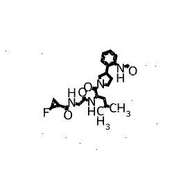 CC(C)CC(NC(=O)CNC(=O)C1CC1F)C(=O)N1CCC(c2ccccc2NC=O)C1